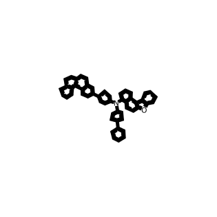 c1ccc(-c2ccc(N(c3ccc(-c4ccc5c(ccc6ccc7ccccc7c65)c4)cc3)c3cccc4c3ccc3oc5ccccc5c34)cc2)cc1